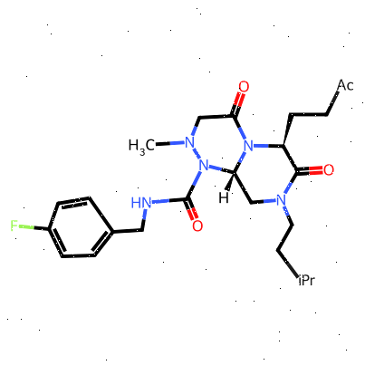 CC(=O)CC[C@H]1C(=O)N(CCC(C)C)C[C@H]2N1C(=O)CN(C)N2C(=O)NCc1ccc(F)cc1